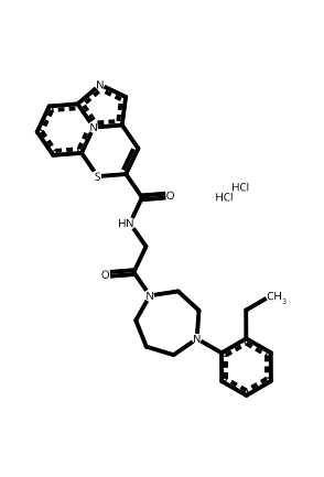 CCc1ccccc1N1CCCN(C(=O)CNC(=O)C2=Cc3cnc4cccc(n34)S2)CC1.Cl.Cl